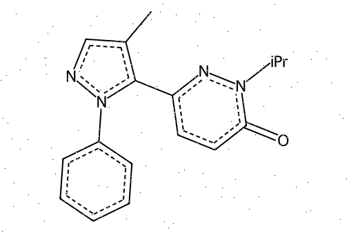 Cc1cnn(-c2ccccc2)c1-c1ccc(=O)n(C(C)C)n1